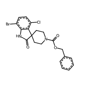 O=C(OCc1ccccc1)N1CCC2(CC1)C(=O)Nc1c(Br)ccc(Cl)c12